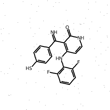 N=C(c1ccc(S)cc1)c1c(Nc2c(F)cccc2F)cc[nH]c1=O